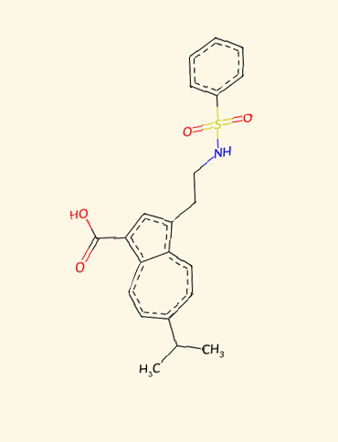 CC(C)c1ccc2c(CCNS(=O)(=O)c3ccccc3)cc(C(=O)O)c-2cc1